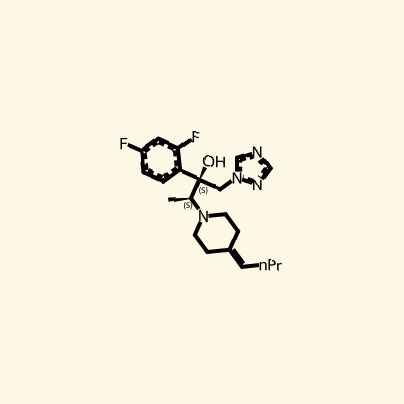 CCCC=C1CCN([C@@H](C)[C@@](O)(Cn2cncn2)c2ccc(F)cc2F)CC1